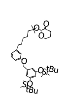 CC(C)(CCCCCc1cccc(OCc2cc(O[Si](C)(C)C(C)(C)C)cc(O[Si](C)(C)C(C)(C)C)c2)c1)OC1OCCCC1=O